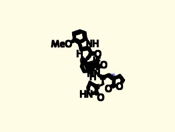 COc1cccc2[nH]c(C(=O)N3[C@H]4CC[C@@H]([C@H]3C(=O)N[C@@H](/C=C3/CCOC3=O)C[C@H]3CCNC3=O)C(F)(F)C4)cc12